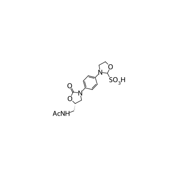 CC(=O)NC[C@H]1CN(c2ccc(N3CCOC3S(=O)(=O)O)cc2)C(=O)O1